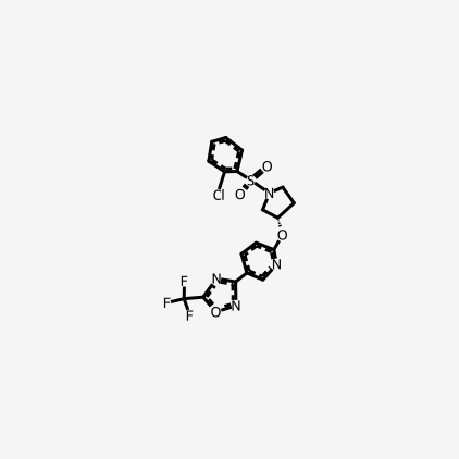 O=S(=O)(c1ccccc1Cl)N1CC[C@H](Oc2ccc(-c3noc(C(F)(F)F)n3)cn2)C1